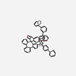 c1ccc(-c2ccc(N(c3ccc(-c4cccc(-c5ccco5)c4)cc3)c3ccc4c(c3)C3(c5ccccc5-c5ccccc5-4)c4ccccc4-c4cc5c(cc43)sc3ccccc35)cc2)cc1